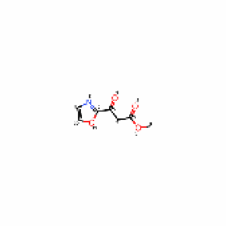 COC(=O)CC(=O)c1ncco1